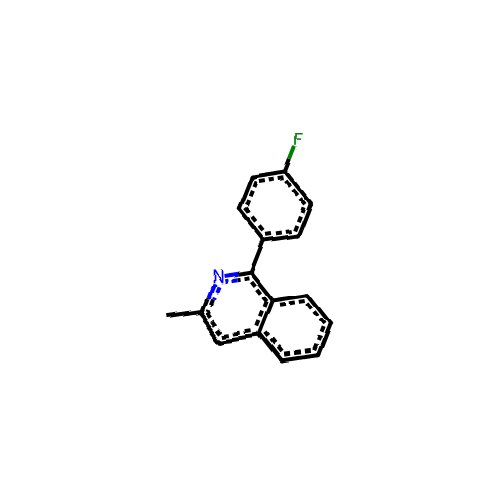 Cc1cc2ccccc2c(-c2ccc(F)cc2)n1